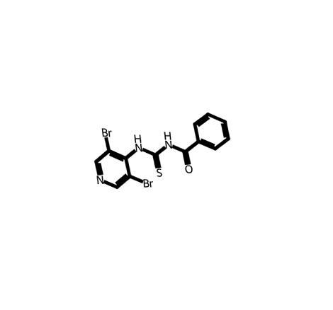 O=C(NC(=S)Nc1c(Br)cncc1Br)c1ccccc1